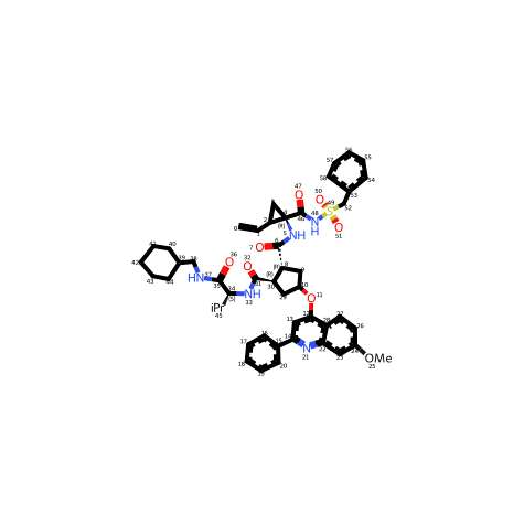 C=CC1C[C@]1(NC(=O)[C@@H]1CC(Oc2cc(-c3ccccc3)nc3cc(OC)ccc23)C[C@H]1C(=O)N[C@H](C(=O)NCC1CCCCC1)C(C)C)C(=O)NS(=O)(=O)Cc1ccccc1